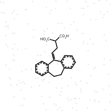 O=C(O)C(CC=C1c2ccccc2CCc2ccccc21)C(=O)O